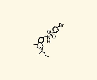 CCCC(C)N1Cc2cc(CNS(=O)(=O)c3ccc(Br)cc3)ccc2C(C)C1